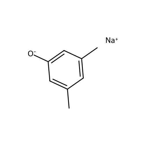 Cc1cc(C)cc([O-])c1.[Na+]